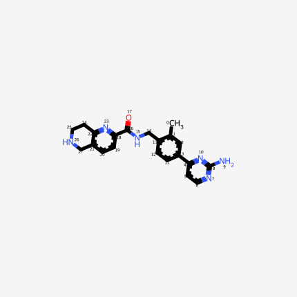 Cc1cc(-c2ccnc(N)n2)ccc1CNC(=O)c1ccc2c(n1)CCNC2